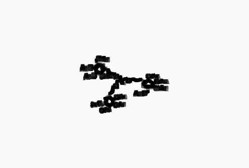 [CH2]C(COCCC[C@H]1S[C@@H](COC(C)=O)[C@@H](OC(C)=O)[C@H](OC(C)=O)[C@H]1OC(C)=O)(COCCC[C@H]1S[C@@H](COC(C)=O)[C@@H](OC(C)=O)[C@H](OC(C)=O)[C@@H]1OC(C)=O)COCCC[C@H]1S[C@@H](COC(C)=O)[C@@H](OC(C)=O)[C@H](OC(C)=O)[C@@H]1OC(C)=O